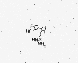 Cc1cc(C)c(CCCSC(=N)N)c(-c2ccc(F)c(C)c2)c1.I